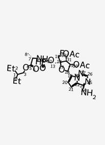 CCC(CC)COC(=O)[C@H](C)N[PH](=O)OC[C@@]1(CF)O[C@@H](c2ccc3c(N)ncnn23)[C@H](OC(C)=O)[C@@H]1OC(C)=O